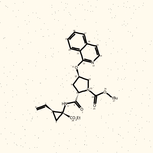 C=C[C@@H]1C[C@]1(NC(=O)[C@@H]1C[C@@H](Oc2nccc3ccccc23)CN1C(=O)OC(C)(C)C)C(=O)OCC